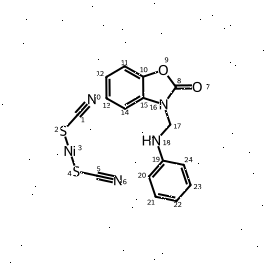 N#C[S][Ni][S]C#N.O=c1oc2ccccc2n1CNc1ccccc1